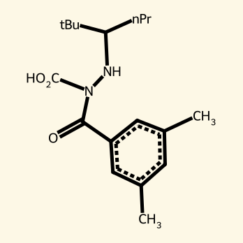 CCCC(NN(C(=O)O)C(=O)c1cc(C)cc(C)c1)C(C)(C)C